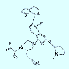 C=C(F)C(=O)N1CCN(c2nc(OCC3CCCN3C)nc3c(F)c(-c4cccc5ccsc45)ccc23)CC1CC#N